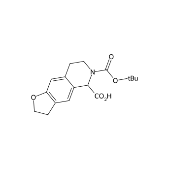 CC(C)(C)OC(=O)N1CCc2cc3c(cc2C1C(=O)O)CCO3